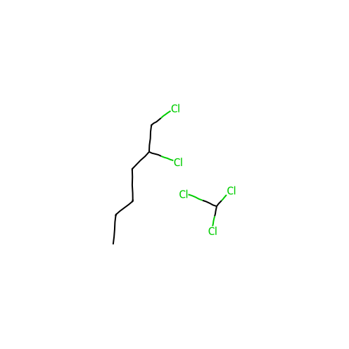 CCCCC(Cl)CCl.ClC(Cl)Cl